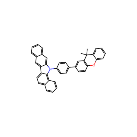 CC1(C)c2ccccc2Oc2ccc(-c3ccc(-n4c5cc6ccccc6cc5c5ccc6ccccc6c54)cc3)cc21